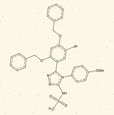 COc1ccc(-n2c(NS(C)(=O)=O)nnc2-c2cc(C(C)C)c(OCc3ccccc3)cc2OCc2ccccc2)cc1